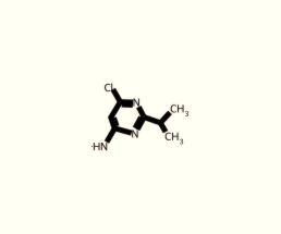 CC(C)c1nc([NH])cc(Cl)n1